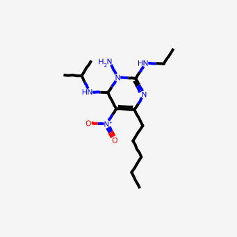 CCCCCC1=C([N+](=O)[O-])C(NC(C)C)N(N)C(NCC)=N1